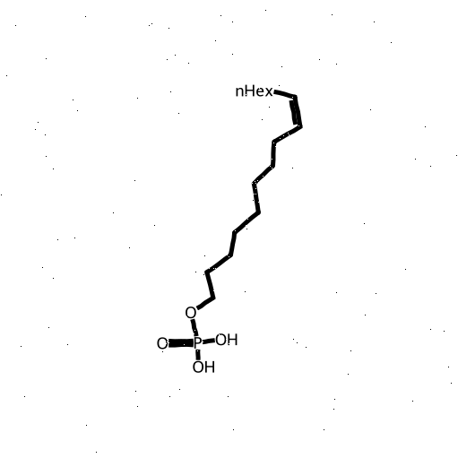 CCCCCC/C=C\CCCCCCCCOP(=O)(O)O